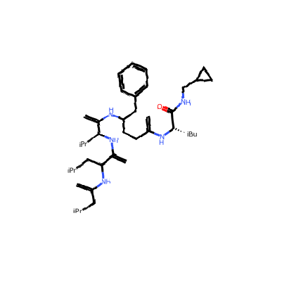 C=C(CC(C)C)NC(CC(C)C)C(=C)NC(C(=C)NC(CCC(=C)NC(C(=O)NCC1CC1)[C@@H](C)CC)Cc1ccccc1)C(C)C